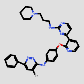 CCc1cc(-c2ccccc2)nnc1Nc1ccc(Oc2ncccc2-c2ccnc(NCCCN3CCCCC3)n2)cc1